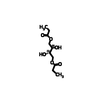 CCC(=O)OC[C@@H](O)[C@@H](O)COC(=O)CC